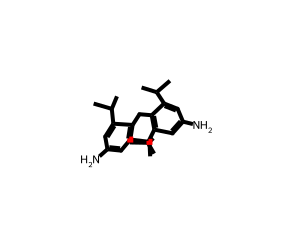 CC(C)c1cc(N)cc(C(C)C)c1Cc1c(C(C)C)cc(N)cc1C(C)C